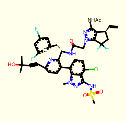 C=C[C@H]1CC(F)(F)c2c1c(NC(C)=O)nn2CC(=O)N[C@@H](Cc1cc(F)cc(F)c1)c1nc(C#CC(C)(C)O)ccc1-c1ccc(Cl)c2c(NS(C)(=O)=O)nn(C)c12